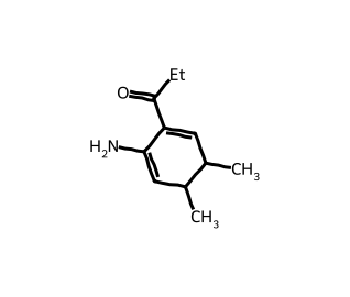 CCC(=O)C1=CC(C)C(C)C=C1N